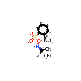 CCOC(=O)C(C#N)=NOS(=O)(=O)c1ccccc1[N+](=O)[O-]